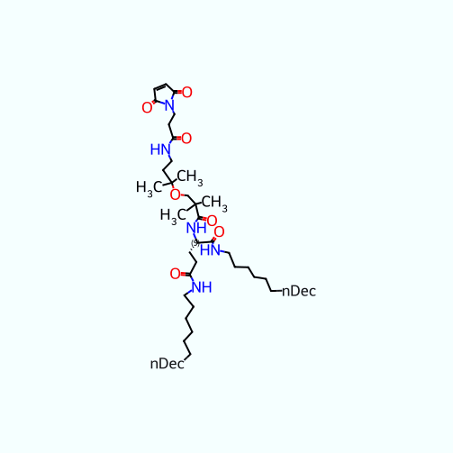 CCCCCCCCCCCCCCCCNC(=O)CC[C@H](NC(=O)C(C)(C)COC(C)(C)CCNC(=O)CCN1C(=O)C=CC1=O)C(=O)NCCCCCCCCCCCCCCCC